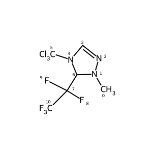 CN1N=CN(C(Cl)(Cl)Cl)C1C(F)(F)C(F)(F)F